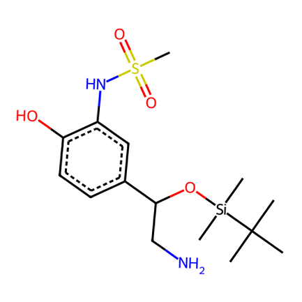 CC(C)(C)[Si](C)(C)OC(CN)c1ccc(O)c(NS(C)(=O)=O)c1